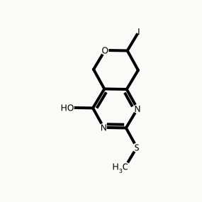 CSc1nc(O)c2c(n1)CC(I)OC2